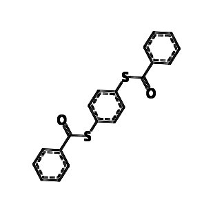 O=C(Sc1ccc(SC(=O)c2ccccc2)cc1)c1ccccc1